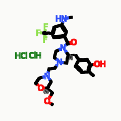 CNc1cc(C(=O)N2CCN(CCN3CCO[C@H](COC)C3)C[C@H]2Cc2ccc(C)c(O)c2)cc(C(F)(F)F)c1.Cl.Cl